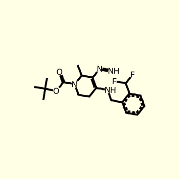 CC1C(N=N)=C(NCc2ccccc2C(F)F)CCN1C(=O)OC(C)(C)C